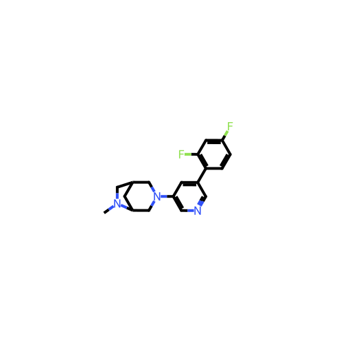 CN1CC2CC1CN(c1cncc(-c3ccc(F)cc3F)c1)C2